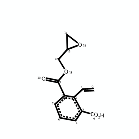 C=Cc1c(C(=O)O)cccc1C(=O)OCC1CO1